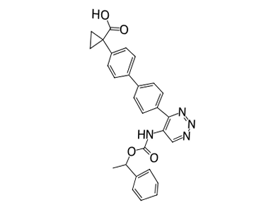 CC(OC(=O)Nc1cnnnc1-c1ccc(-c2ccc(C3(C(=O)O)CC3)cc2)cc1)c1ccccc1